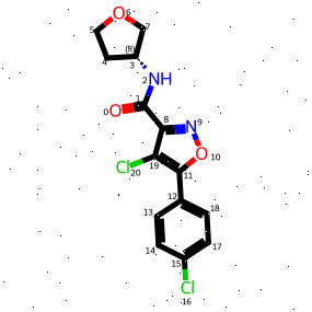 O=C(N[C@@H]1CCOC1)c1noc(-c2ccc(Cl)cc2)c1Cl